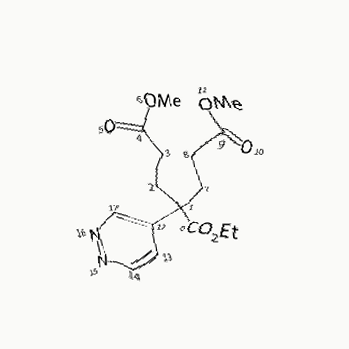 CCOC(=O)C(CCC(=O)OC)(CCC(=O)OC)c1ccnnc1